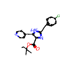 CC(C)(C)OC(=O)c1nc(-c2ccc(Cl)cc2)[nH]c1-c1ccncc1